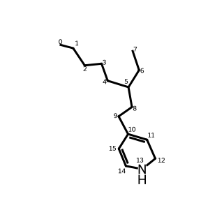 CCCCCC(CC)CCC1=CCNC=C1